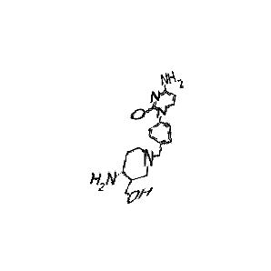 Nc1ccn(-c2ccc(CN3CC[C@@H](N)C(CO)C3)cc2)c(=O)n1